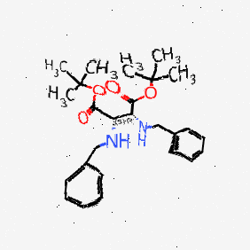 CC(C)(C)OC(=O)[C@@H](NCc1ccccc1)[C@@H](NCc1ccccc1)C(=O)OC(C)(C)C